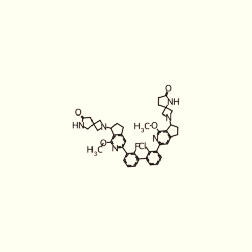 COc1nc(-c2cccc(-c3cccc(-c4cc5c(c(OC)n4)C(N4CC6(CCC(=O)N6)C4)CC5)c3Cl)c2F)cc2c1C(N1CC3(CNC(=O)C3)C1)CC2